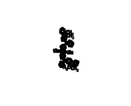 CC(C)(C)c1c2ccc(N(c3ccccc3)c3ccc4c(c3)C(C)(C)c3ccccc3-4)cc2c(C(C)(C)C)c2cc(N(c3ccccc3)c3ccc4c(c3)C(C)(C)C3C=CC=CC43)ccc12